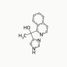 CC(O)(c1c[nH]cn1)c1nccc2ccccc12